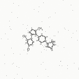 Cc1cnc(-c2ccc(Cl)cc2Cl)n1-c1ccc(-c2nnn[nH]2)cc1